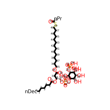 CCCCCCCCCCCCCCCC(=O)O[C@@H](COP(=O)(O)OC1C(O)[C@H](OP(=O)(O)O)C(O)[C@H](O)[C@@H]1O)CC(=O)OCCCCCCCCCCCCCCSC(=O)CCC